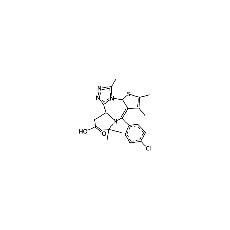 CC1=C(C)C2=C(c3ccc(Cl)cc3)N(C(C)(C)C)C(CC(=O)O)c3nnc(C)n3C2S1